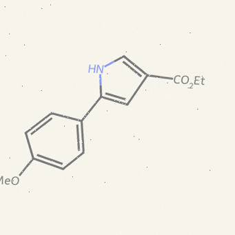 CCOC(=O)c1c[nH]c(-c2ccc(OC)cc2)c1